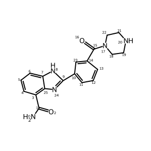 NC(=O)c1cccc2[nH]c(-c3cccc(C(=O)N4CCNCC4)c3)nc12